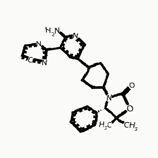 CC1(C)OC(=O)N(C2CCC(c3cnc(N)c(-c4ncccn4)c3)CC2)[C@H]1c1ccccc1